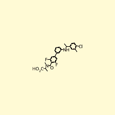 Cc1cc(C(C)Nc2cccc(-c3cc(F)c(C(=O)N(C)[C@@H](C)C(=O)O)c(F)c3)c2)ccc1Cl